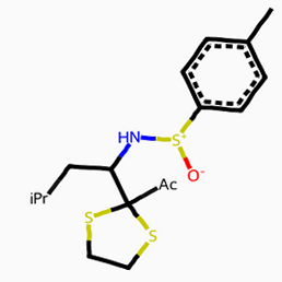 CC(=O)C1(C(CC(C)C)N[S+]([O-])c2ccc(C)cc2)SCCS1